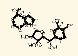 C[C@@]1(O)[C@@H]([C@H](O)c2ccc(F)c(C(F)(F)F)c2)O[C@@H](n2ccc3c(N)ncnc32)[C@@H]1O